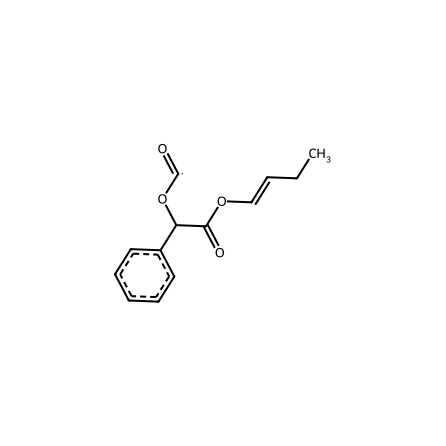 CCC=COC(=O)C(O[C]=O)c1ccccc1